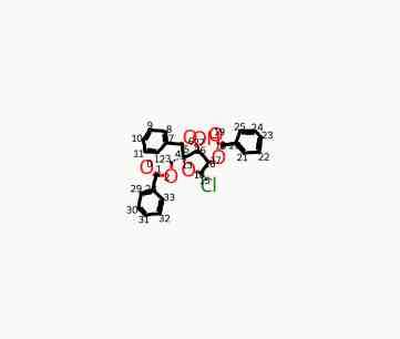 O=C(OC[C@@]1(C(=O)c2ccccc2)OC(Cl)[C@H](OC(=O)c2ccccc2)[C@@H]1O)c1ccccc1